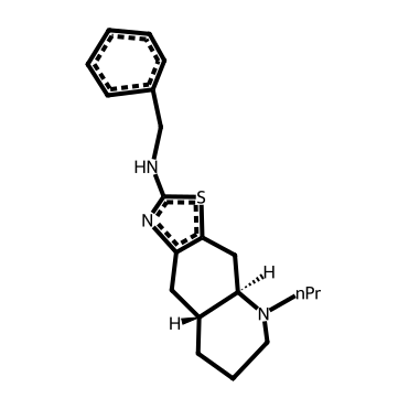 CCCN1CCC[C@@H]2Cc3nc(NCc4ccccc4)sc3C[C@H]21